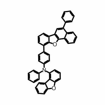 c1ccc(-c2cc3c4cccc(-c5ccc(N(c6ccccc6)c6cccc7oc8ccccc8c67)cc5)c4oc3c3ccccc23)cc1